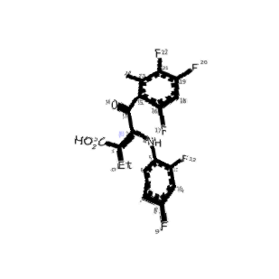 CC/C(C(=O)O)=C(\Nc1ccc(F)cc1F)C(=O)c1c(F)cc(F)c(F)c1C